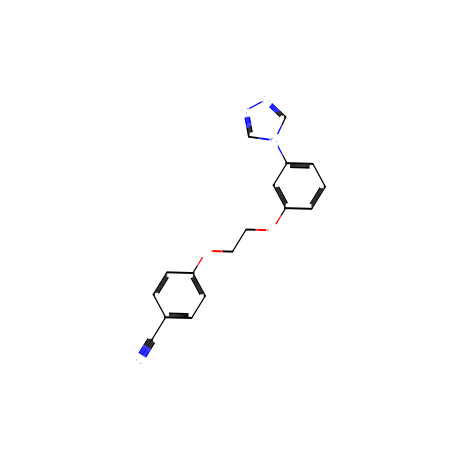 N#Cc1ccc(OCCOc2cccc(-n3cnnc3)c2)cc1